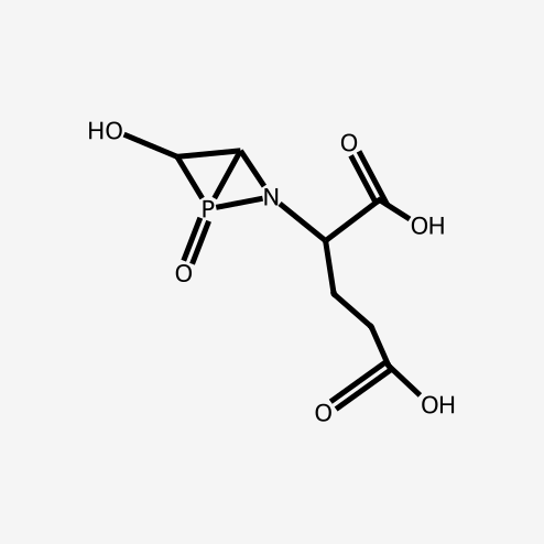 O=C(O)CCC(C(=O)O)N1C2C(O)P21=O